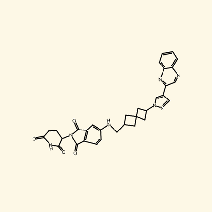 O=C1CCC(N2C(=O)c3ccc(NCC4CC5(C4)CC(n4cc(-c6cnc7ccccc7n6)cn4)C5)cc3C2=O)C(=O)N1